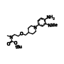 CNc1cc(N2CCC(COCCN(C)C(=O)OC(C)(C)C)CC2)ccc1N